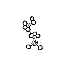 c1ccc(-c2cc(-c3ccccc3)nc(-n3c4cccc5ccc6c(-c7cc8ccc9cccc%10c9c8c(c7)n%10-c7cccc8ccccc78)ccc3c6c54)n2)cc1